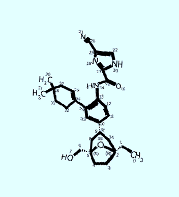 CC[C@@]12CC[C@@](CO)(C[C@H](c3ccc(NC(=O)c4nc(C#N)c[nH]4)c(C4=CCC(C)(C)CC4)c3)C1)O2